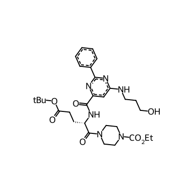 CCOC(=O)N1CCN(C(=O)[C@H](CCC(=O)OC(C)(C)C)NC(=O)c2cc(NCCCO)nc(-c3ccccc3)n2)CC1